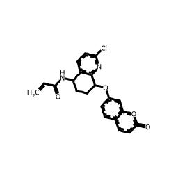 C=CC(=O)NC1CCC(Oc2ccc3ccc(=O)oc3c2)c2nc(Cl)ccc21